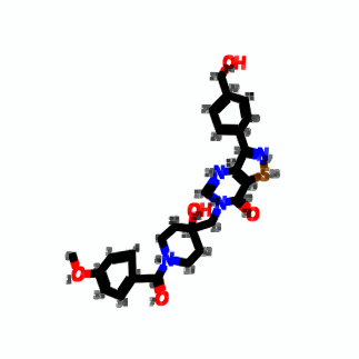 COc1ccc(C(=O)N2CCC(O)(Cn3cnc4c(-c5ccc(CO)cc5)nsc4c3=O)CC2)cc1